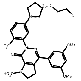 COc1cc(OC)cc(-c2nn(-c3cc(N4CC[C@H](OCCO)C4)ccc3C(F)(F)F)c(=O)c3c2CCN3C(=O)O)c1